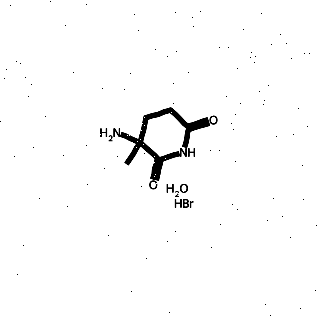 Br.CC1(N)CCC(=O)NC1=O.O